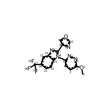 COc1ccc(-n2c(-c3cocn3)nc3cc(C(F)(F)F)ccc32)nn1